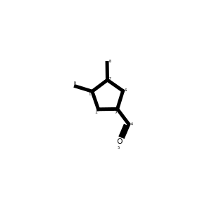 CC1CC([C]=O)CC1C